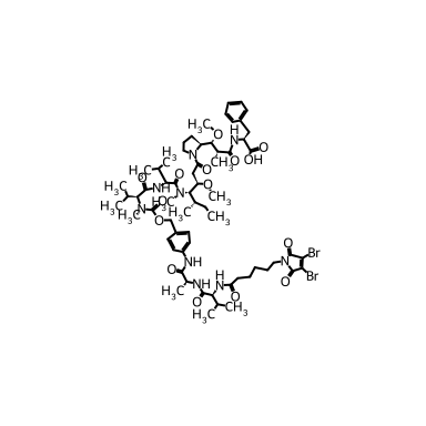 CC[C@H](C)[C@@H]([C@@H](CC(=O)N1CCC[C@H]1[C@H](OC)[C@@H](C)C(=O)N[C@@H](Cc1ccccc1)C(=O)O)OC)N(C)C(=O)[C@@H](NC(=O)[C@H](C(C)C)N(C)C(=O)OCc1ccc(NC(=O)[C@H](C)NC(=O)[C@@H](NC(=O)CCCCCN2C(=O)C(Br)=C(Br)C2=O)C(C)C)cc1)C(C)C